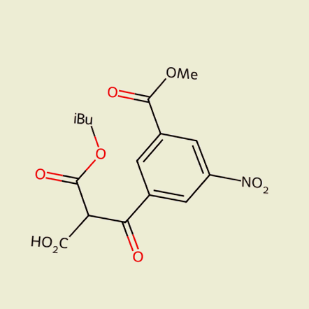 CCC(C)OC(=O)C(C(=O)O)C(=O)c1cc(C(=O)OC)cc([N+](=O)[O-])c1